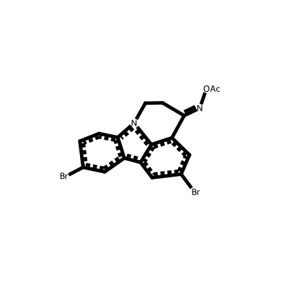 CC(=O)O/N=C1\CCn2c3ccc(Br)cc3c3cc(Br)cc1c32